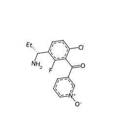 CC[C@@H](N)c1ccc(Cl)c(C(=O)c2ccc[n+]([O-])c2)c1F